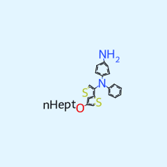 CCCCCCCOc1csc2c(N(c3ccccc3)c3ccc(N)cc3)csc12